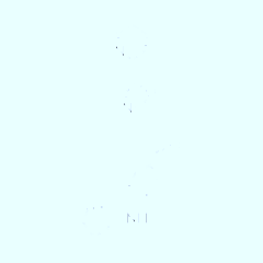 O=C(CCc1ncc(-c2ccccn2)o1)c1ccc(Nc2ccccc2)cc1